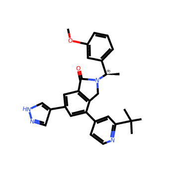 COc1cccc([C@@H](C)N2Cc3c(cc(-c4cn[nH]c4)cc3-c3ccnc(C(C)(C)C)c3)C2=O)c1